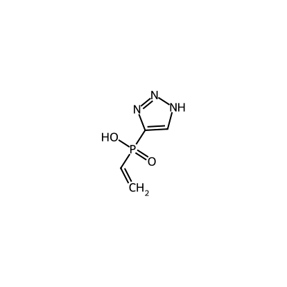 C=CP(=O)(O)c1c[nH]nn1